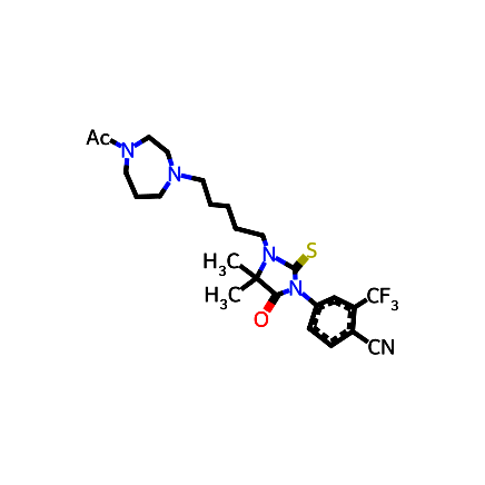 CC(=O)N1CCCN(CCCCCN2C(=S)N(c3ccc(C#N)c(C(F)(F)F)c3)C(=O)C2(C)C)CC1